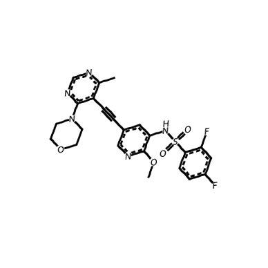 COc1ncc(C#Cc2c(C)ncnc2N2CCOCC2)cc1NS(=O)(=O)c1ccc(F)cc1F